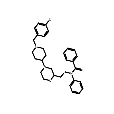 O=C(c1ccccc1)N(OCC1CN(C2CCN(Cc3ccc(Cl)cc3)CC2)CCO1)c1ccccc1